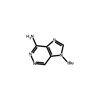 CC(C)(C)n1cnc2c(N)nncc21